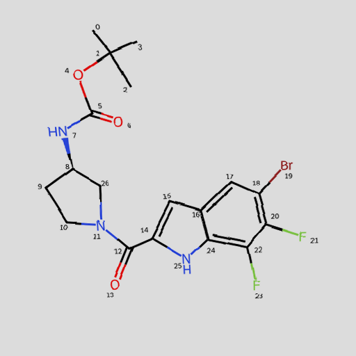 CC(C)(C)OC(=O)N[C@@H]1CCN(C(=O)c2cc3cc(Br)c(F)c(F)c3[nH]2)C1